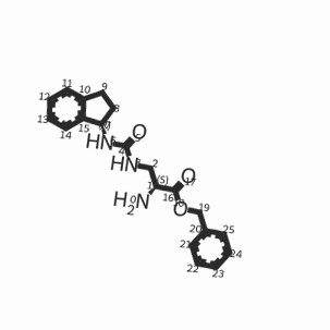 N[C@@H](CNC(=O)N[C@@H]1CCc2ccccc21)C(=O)OCc1ccccc1